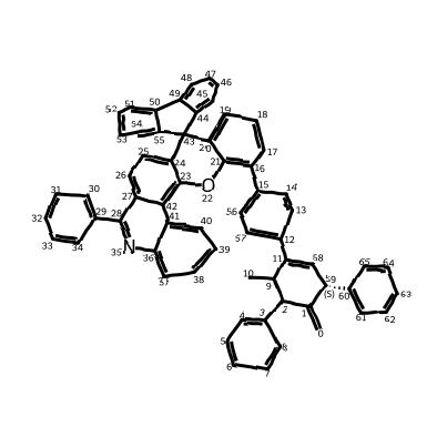 C=C1C(c2ccccc2)C(C)C(c2ccc(-c3cccc4c3Oc3c(ccc5c(-c6ccccc6)nc6ccccc6c35)C43c4ccccc4-c4ccccc43)cc2)=C[C@@H]1c1ccccc1